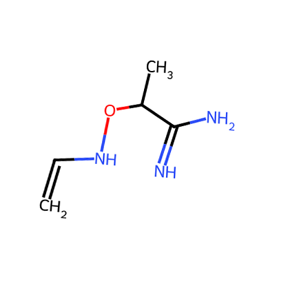 C=CNOC(C)C(=N)N